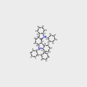 c1ccc(-c2ccccc2-n2c3ccccc3c3c2ccc2c4ccccc4n(-c4ccccc4)c23)cc1